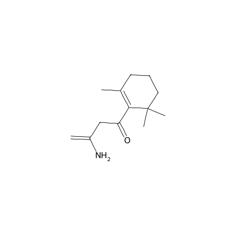 C=C(N)CC(=O)C1=C(C)CCCC1(C)C